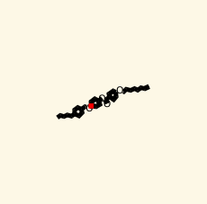 C=CCCCCCCOc1ccc(C(=O)Oc2ccc(OCC3CCC(CCCCC)CC3)cc2)cc1